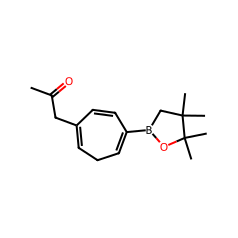 CC(=O)CC1=CCC=C(B2CC(C)(C)C(C)(C)O2)C=C1